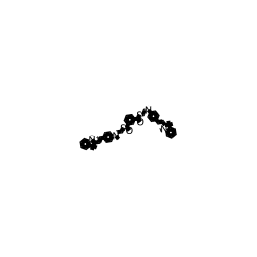 CN(CCSC(=O)c1cccc(C(=O)SCCN(C)c2ccc(/C=C/C3=[N+](C)c4ccccc4C3(C)C)cc2)c1)c1ccc(/C=C/C2=[N+](C)c3ccccc3C2(C)C)cc1